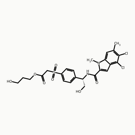 Cc1cc2c(cc(C(=O)N[C@H](CO)c3ccc(S(=O)(=O)CC(=O)OCCCO)cc3)n2C)c(Cl)c1Cl